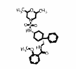 COc1ccccc1C(=O)NC[C@]1(c2ccccc2)CC[C@H](NS(=O)(=O)N2CC(C)OC(C)C2)CC1